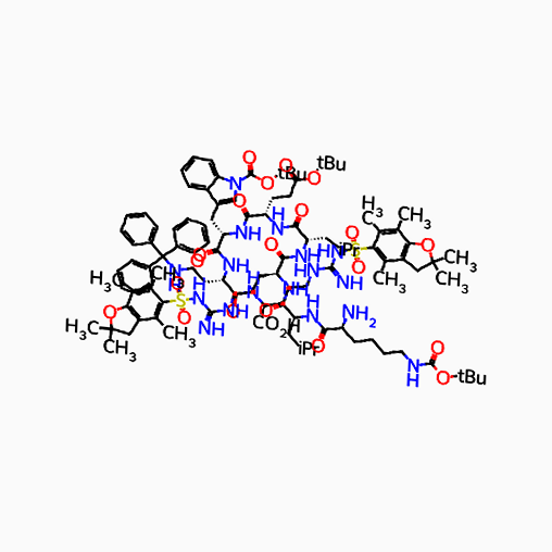 Cc1c(C)c(S(=O)(=O)NC(=N)NCCC[C@H](NC(=O)[C@H](CC(=O)NC(c2ccccc2)(c2ccccc2)c2ccccc2)NC(=O)[C@H](Cc2cn(C(=O)OC(C)(C)C)c3ccccc23)NC(=O)[C@H](CCC(=O)OC(C)(C)C)NC(=O)[C@H](CC(C)C)NC(=O)[C@H](CCCNC(=N)NS(=O)(=O)c2c(C)c(C)c3c(c2C)CC(C)(C)O3)NC(=O)[C@H](CC(C)C)NC(=O)[C@@H](N)CCCCNC(=O)OC(C)(C)C)C(=O)O)c(C)c2c1OC(C)(C)C2